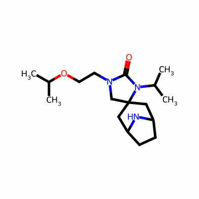 CC(C)OCCN1CC2(CC3CCC(C2)N3)N(C(C)C)C1=O